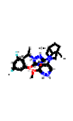 COc1cc(N2C[C@H]3CC[C@H](C2)C3Nc2nc(Oc3cc(F)cc(F)c3)n(C(C)C)n2)cnn1